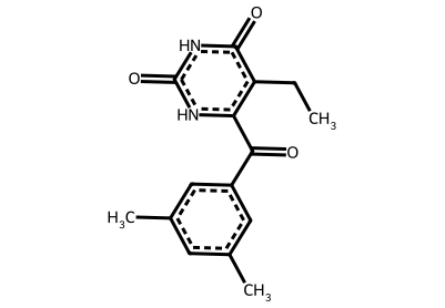 CCc1c(C(=O)c2cc(C)cc(C)c2)[nH]c(=O)[nH]c1=O